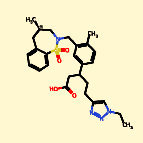 CCn1cc(CCC(CC(=O)O)c2ccc(C)c(CN3C[C@H](C)Cc4ccccc4S3(=O)=O)c2)nn1